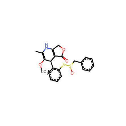 CCOC(=O)OC1=C(C)NC2=C(C(=O)OC2)C1c1ccccc1S[S+]([O-])Cc1ccccc1